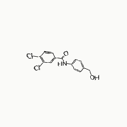 O=C(Nc1ccc(CO)cc1)c1ccc(Cl)c(Cl)c1